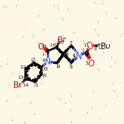 CC(C)(C)OC(=O)N1CC2(C1)CN(c1ccc(Br)cc1)C(=O)C2Br